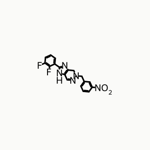 O=[N+]([O-])c1cccc(CN2Cc3nc(-c4cccc(F)c4F)[nH]c3C=N2)c1